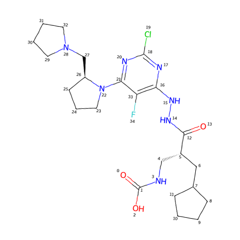 O=C(O)NC[C@@H](CC1CCCC1)C(=O)NNc1nc(Cl)nc(N2CCC[C@H]2CN2CCCC2)c1F